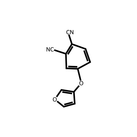 N#Cc1ccc(Oc2ccoc2)cc1C#N